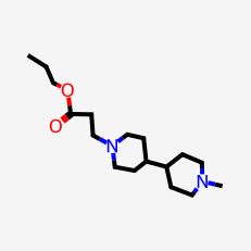 CCCOC(=O)CCN1CCC(C2CCN(C)CC2)CC1